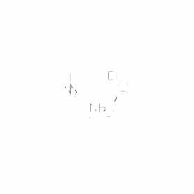 CCc1cccc(C#Cc2cc(C(=O)NCCCc3cn[nH]c3)ccc2C)c1